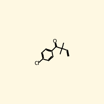 C=CC(C)(C)C(=O)c1ccc(Cl)cc1